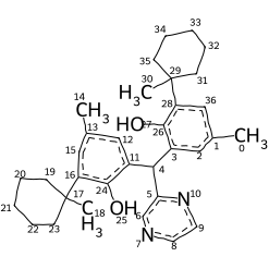 Cc1cc(C(c2cnccn2)c2cc(C)cc(C3(C)CCCCC3)c2O)c(O)c(C2(C)CCCCC2)c1